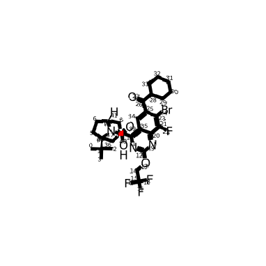 CC(C)(C)[C@]12CC[C@@H](CN(c3nc(OCC(F)(F)F)nc4c(F)c(Br)c(C(=O)C5CCCCC5)cc34)C1)N2C(=O)O